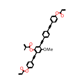 C=CC(=O)Oc1ccc(C#Cc2ccc(C#Cc3cc(OC(=O)C(=C)C)c(C#Cc4ccc(OC(=O)C=C)cc4)cc3OC)cc2)cc1